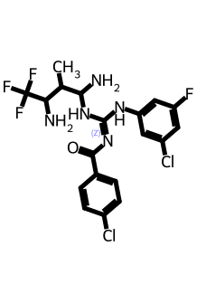 CC(C(N)N/C(=N\C(=O)c1ccc(Cl)cc1)Nc1cc(F)cc(Cl)c1)C(N)C(F)(F)F